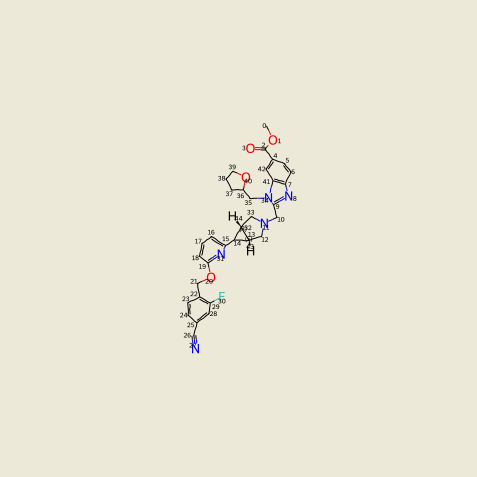 COC(=O)c1ccc2nc(CN3C[C@@H]4C(c5cccc(OCc6ccc(C#N)cc6F)n5)[C@@H]4C3)n(CC3CCCO3)c2c1